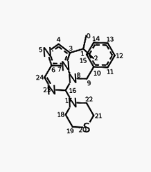 CC(C)c1cnc2n1N(Cc1ccccc1)C(N1CCSCC1)N=C2